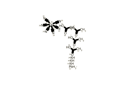 CC(=O)O.CC(=O)O.CC(=O)O.CC(=O)O.N#[C][Fe]([C]#N)([C]#N)([C]#N)([C]#N)[C]#N.[KH].[KH].[KH].[PbH2]